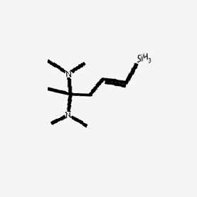 CN(C)C(C)(CC=C[SiH3])N(C)C